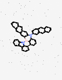 c1cc2c3c(c1)N(c1ccc4cc5ccccc5cc4c1)c1cc4cc5ccccc5cc4cc1B3n1c3ccccc3c3cccc-2c31